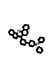 C1=CC2=CCc3c(nc4c(ccc5ccccc54)c3-c3cccc(-c4ccc(P(c5ccccc5)c5ccccc5)cc4)c3)C2C=C1